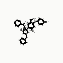 CC(=O)OC(c1ccccc1)[C@@H]1[C@H]2CN(Cc3ccccc3)C[C@]21c1cc2cnn(-c3ccc(F)cc3)c2cc1C